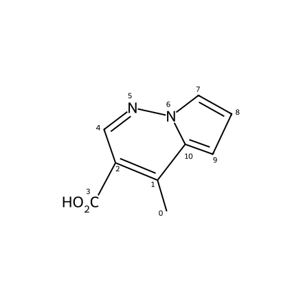 Cc1c(C(=O)O)cnn2cccc12